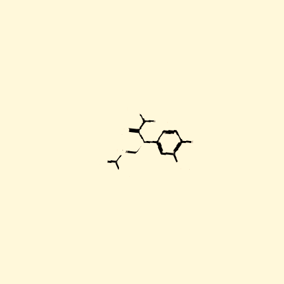 C=C(C(C)C)[C@H](CNC(C)C)c1ccc(F)c(C)c1